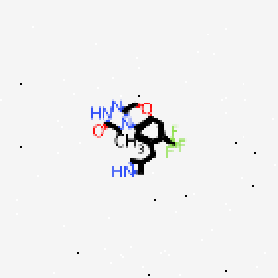 CC1C(=O)NN=C2COc3cc(C(F)(F)F)c(CC4CNC4)cc3N21